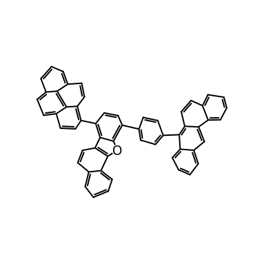 c1ccc2c(-c3ccc(-c4ccc(-c5ccc6ccc7cccc8ccc5c6c78)c5c4oc4c6ccccc6ccc45)cc3)c3ccc4ccccc4c3cc2c1